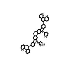 c1cncc(-n2c3ccc(-c4cc5cccnc5c5ncccc45)cc3c3cc4c(cc32)-c2cc3c(cc2CC4)c2cc(C4Cc5cccnc5-c5ncccc54)ccc2n3-c2cc[nH]c2)c1